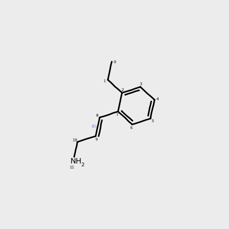 CCc1ccccc1/C=C/CN